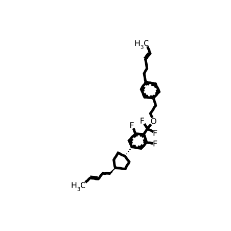 C/C=C/CCc1ccc(CCOC(F)(F)c2c(F)cc([C@H]3CC[C@H](CC/C=C/C)CC3)cc2F)cc1